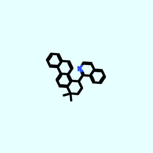 CC1(C)CCC(c2nccc3ccccc23)c2c1ccc1c2ccc2ccccc21